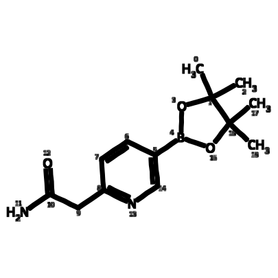 CC1(C)OB(c2ccc(CC(N)=O)nc2)OC1(C)C